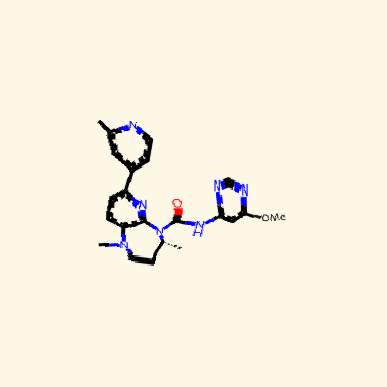 COc1cc(NC(=O)N2c3nc(-c4ccnc(C)c4)ccc3N(C)CC[C@H]2C)ncn1